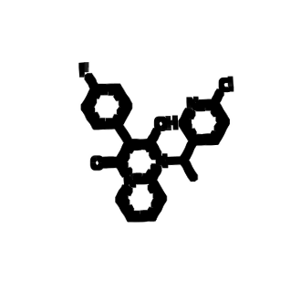 CC(c1ccc(Cl)nc1)n1c(O)c(-c2ccc(F)cc2)c(=O)[n+]2ccccc12